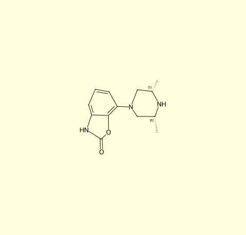 C[C@@H]1CN(c2cccc3[nH]c(=O)oc23)C[C@H](C)N1